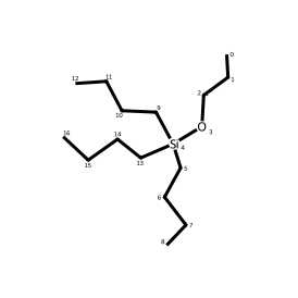 CC[CH]O[Si](CCCC)(CCCC)CCCC